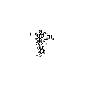 CCCC(=O)N([C@@H](Cc1ccc(O)cc1)C(=O)O)n1cnc2c1c(=O)n(C)c(=O)n2C